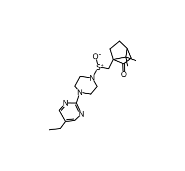 CCc1cnc(N2CCN([S+]([O-])CC34CCC(CC3=O)C4(C)C)CC2)nc1